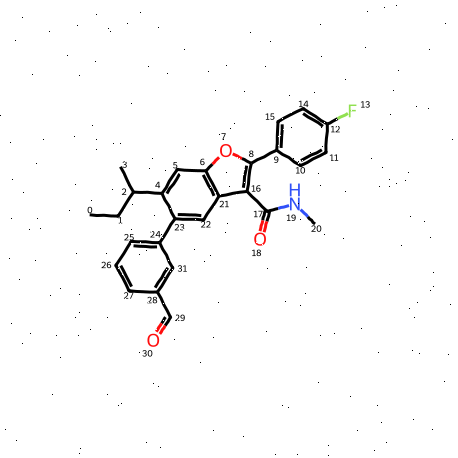 CCC(C)c1cc2oc(-c3ccc(F)cc3)c(C(=O)NC)c2cc1-c1cccc(C=O)c1